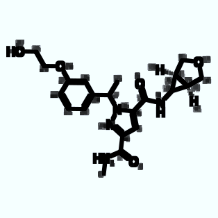 CNC(=O)c1cc(C(=O)NC2[C@H]3COC[C@@H]23)n(C(C)c2cccc(OCCO)c2)n1